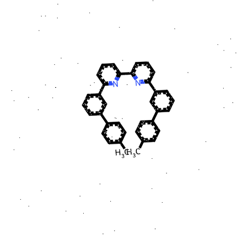 Cc1ccc(-c2cccc(-c3cccc(-c4cccc(-c5cccc(-c6ccc(C)cc6)c5)n4)n3)c2)cc1